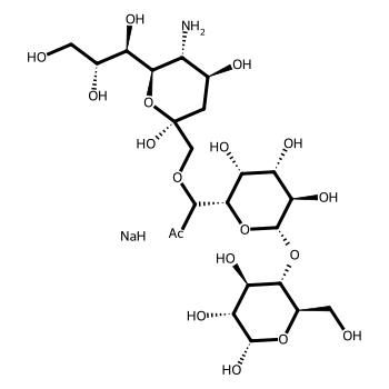 CC(=O)C(OC[C@]1(O)C[C@H](O)[C@@H](N)[C@H]([C@H](O)[C@H](O)CO)O1)[C@H]1O[C@@H](O[C@H]2[C@H](O)[C@@H](O)[C@@H](O)O[C@@H]2CO)[C@H](O)[C@@H](O)[C@H]1O.[NaH]